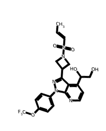 CC=CS(=O)(=O)N1CC(c2nn(-c3ccc(OC(F)(F)F)cc3)c3nccc(C(O)CO)c23)C1